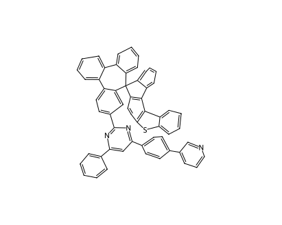 c1ccc(-c2cc(-c3ccc(-c4cccnc4)cc3)nc(-c3ccc4c(c3)C3(c5ccccc5-c5ccccc5-4)c4ccccc4-c4c3ccc3sc5ccccc5c43)n2)cc1